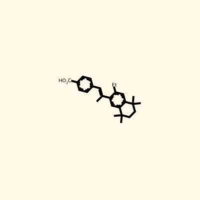 CCc1cc2c(cc1C(C)=Cc1ccc(C(=O)O)cc1)C(C)(C)CCC2(C)C